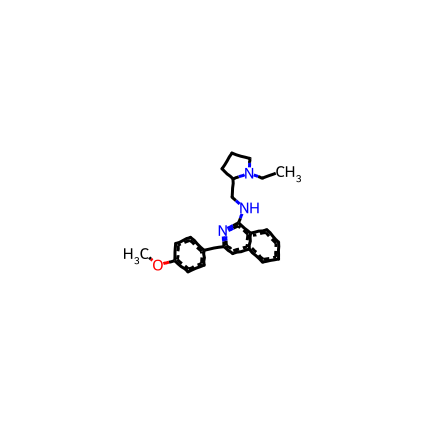 CCN1CCCC1CNc1nc(-c2ccc(OC)cc2)cc2ccccc12